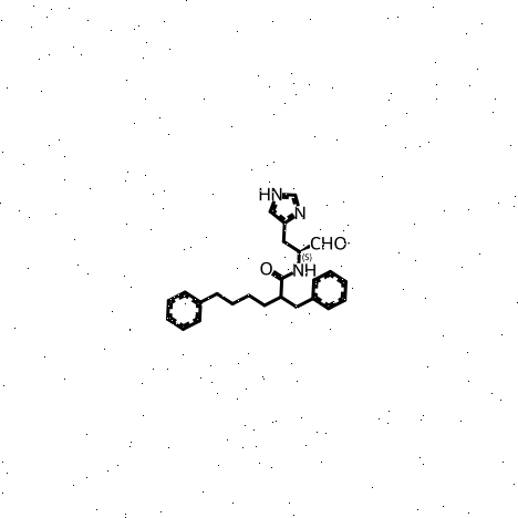 O=[C][C@H](Cc1c[nH]cn1)NC(=O)C(CCCCc1ccccc1)Cc1ccccc1